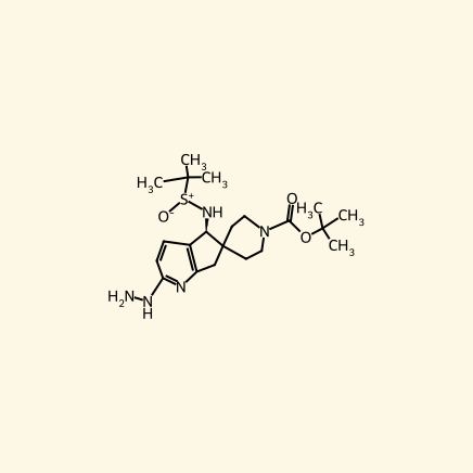 CC(C)(C)OC(=O)N1CCC2(CC1)Cc1nc(NN)ccc1[C@H]2N[S+]([O-])C(C)(C)C